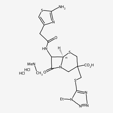 CCn1nnnc1SCC1(C(=O)O)CS[C@@H]2C(NC(=O)Cc3csc(N)n3)C(=O)N2C1.CNC.Cl.Cl